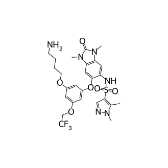 Cc1c(S(=O)(=O)Nc2cc3c(cc2Oc2cc(OCCCCN)cc(OCC(F)(F)F)c2)n(C)c(=O)n3C)cnn1C